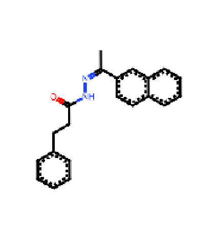 C/C(=N/NC(=O)CCc1ccccc1)c1ccc2ccccc2c1